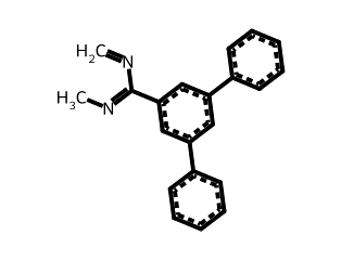 C=N/C(=N\C)c1cc(-c2ccccc2)cc(-c2ccccc2)c1